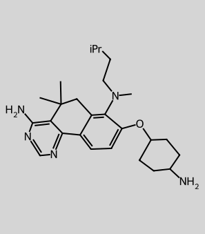 CC(C)CCN(C)c1c(OC2CCC(N)CC2)ccc2c1CC(C)(C)c1c(N)ncnc1-2